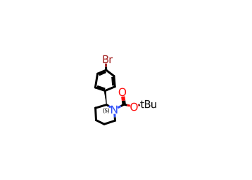 CC(C)(C)OC(=O)N1CCCC[C@H]1c1ccc(Br)cc1